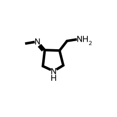 CN=C1CNCC1CN